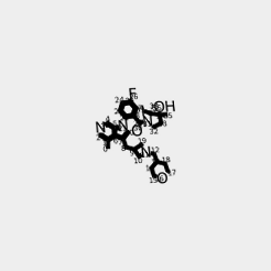 Cc1cncc2c1c(CC1CN(CC3CCOCC3)C1)cn2-c1ccc(F)cc1C(=O)N1CCC(C)(O)[C@]1(C)I